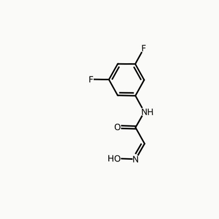 O=C(/C=N\O)Nc1cc(F)cc(F)c1